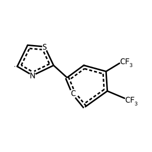 FC(F)(F)c1ccc(-c2n[c]cs2)cc1C(F)(F)F